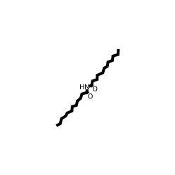 CCCCCCCCCCCC(=O)NC(=O)CCCCCCCCCCC